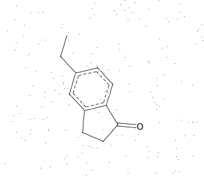 CCc1ccc2c(c1)CCC2=O